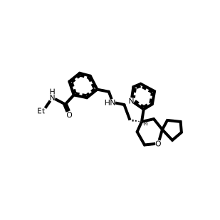 CCNC(=O)c1cccc(CNCC[C@@]2(c3ccccn3)CCOC3(CCCC3)C2)c1